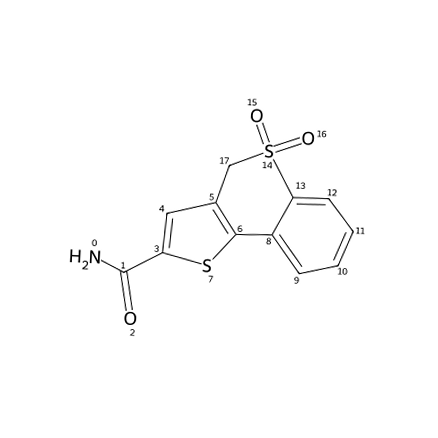 NC(=O)c1cc2c(s1)-c1ccccc1S(=O)(=O)C2